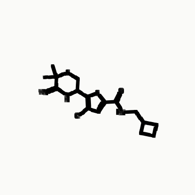 CC1(C)SCC(c2sc(C(=O)NCC3CCC3)cc2Cl)NC1=N